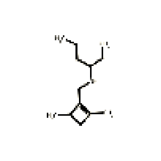 CCCC(CC)NCC1=C(C)CC1C